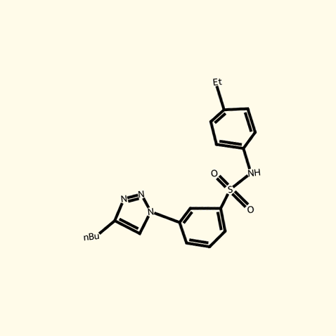 CCCCc1cn(-c2cccc(S(=O)(=O)Nc3ccc(CC)cc3)c2)nn1